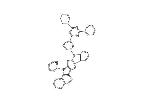 C1=CC2c3cc4c5ccc6ccccc6c5n(-c5ccccc5)c4cc3N(c3cccc(-c4nc(C5=CCCC=C5)nc(-c5ccccc5)n4)c3)C2C=C1